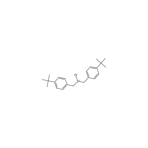 CC(C)(C)c1ccc(C[S+]([O-])Cc2ccc(C(C)(C)C)cc2)cc1